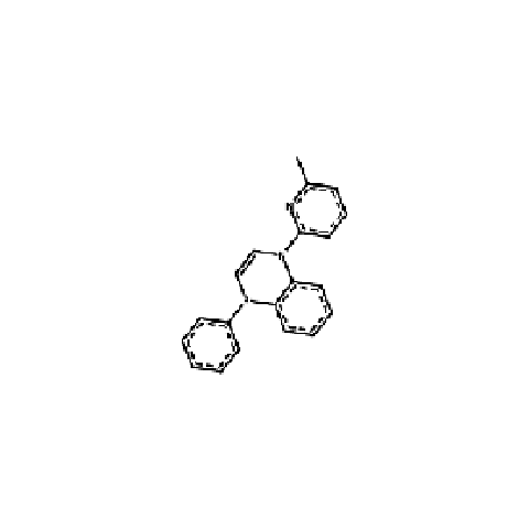 Cc1cccc(N2C=CB(c3ccccc3)c3ccccc32)n1